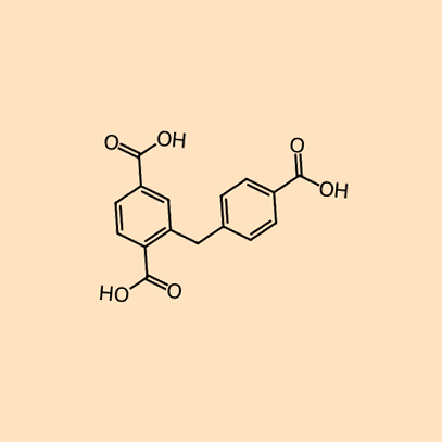 O=C(O)c1ccc(Cc2cc(C(=O)O)ccc2C(=O)O)cc1